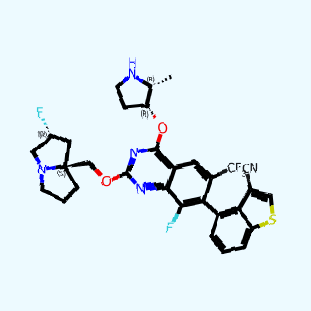 C[C@H]1NCC[C@H]1Oc1nc(OC[C@@]23CCCN2C[C@H](F)C3)nc2c(F)c(-c3cccc4scc(C#N)c34)c(C(F)(F)F)cc12